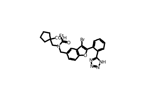 CCC(=O)N(Cc1ccc2oc(-c3ccccc3-c3nnn[nH]3)c(Br)c2c1)CC1(C(=O)O)CCCC1